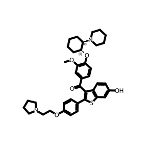 COc1cc(C(=O)c2c(-c3ccc(OCCN4CCCC4)cc3)sc3cc(O)ccc23)ccc1O[C@@H]1CCCC[C@H]1N1CCCCC1